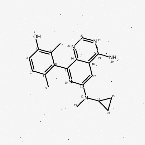 Cc1ccc(O)c(C)c1-c1nc(N(C)C2CC2)cc2c(N)ncnc12